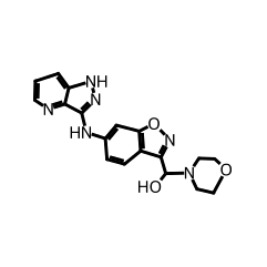 OC(c1noc2cc(Nc3n[nH]c4cccnc34)ccc12)N1CCOCC1